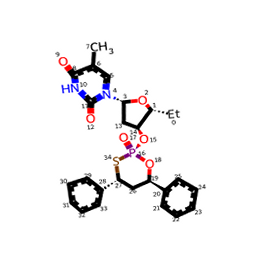 CC[C@H]1O[C@@H](n2cc(C)c(=O)[nH]c2=O)C[C@@H]1O[P@@]1(=O)O[C@@H](c2ccccc2)C[C@H](c2ccccc2)S1